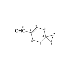 O=CC1=CCC2(CC1)CC2